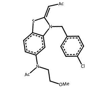 COCCN(C(C)=O)c1ccc2c(c1)N(Cc1ccc(Cl)cc1)C(=CC(C)=O)S2